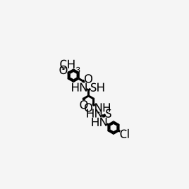 COc1ccc(C(=O)NC(S)C(C=O)CC(=O)NNC(=S)Nc2ccc(Cl)cc2)cc1